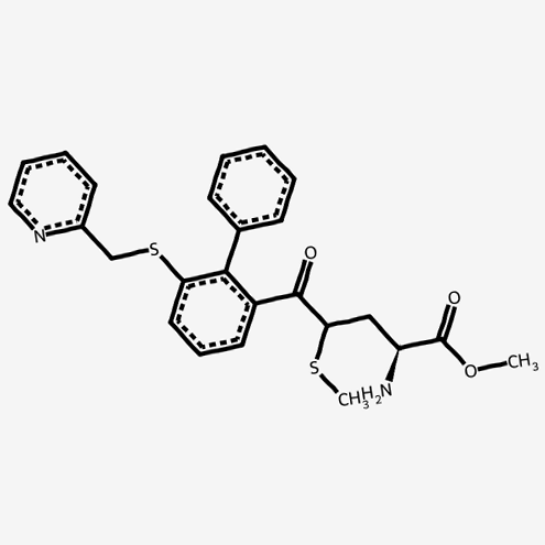 COC(=O)[C@@H](N)CC(SC)C(=O)c1cccc(SCc2ccccn2)c1-c1ccccc1